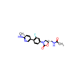 CNc1ccc(-c2ccc(N3C[C@H](CNC(C)=O)OC3=O)cc2F)cn1